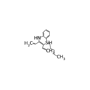 C=CC1=C(C=C)[SiH](CCCCC)c2ccccc2N1